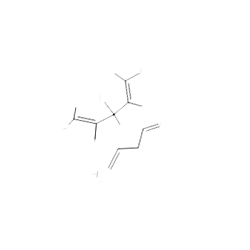 C=CCC=C.FC(F)=C(F)C(F)(F)C(F)=C(F)F